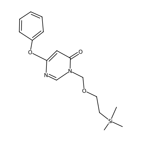 C[Si](C)(C)CCOCn1cnc(Oc2ccccc2)cc1=O